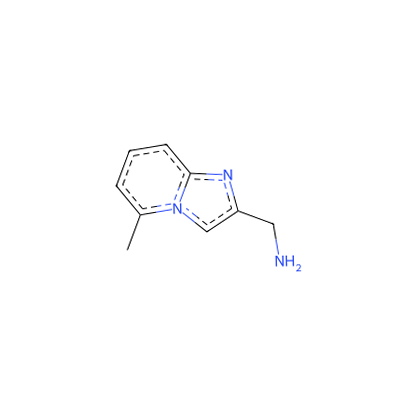 Cc1cccc2nc(CN)cn12